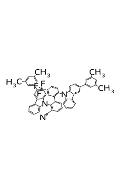 Cc1cc(C)cc(-c2ccc3c(c2)c2ccccc2n3-c2ccc(C(F)(F)F)cc2-c2cccc(C#N)c2-n2c3ccccc3c3cc(-c4cc(C)cc(C)c4)ccc32)c1